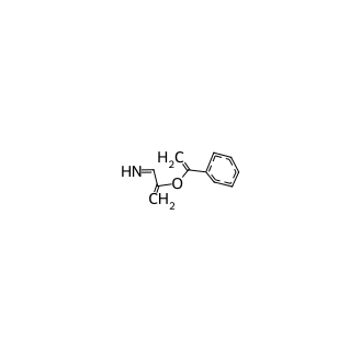 C=C(C=N)OC(=C)c1ccccc1